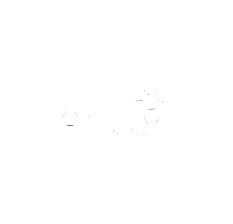 O=C(CCCN1CCN(C(=O)c2ccc3[nH]c(=O)[nH]c(=O)c3c2)CC1)c1ccccc1